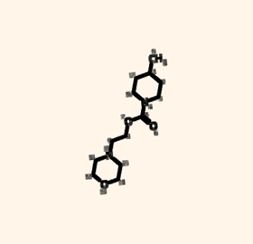 CC1CCN(C(=O)OCCN2CCOCC2)CC1